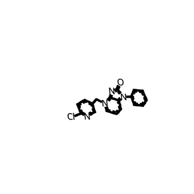 O=c1nc2n(Cc3ccc(Cl)nc3)cccc-2n1-c1ccccc1